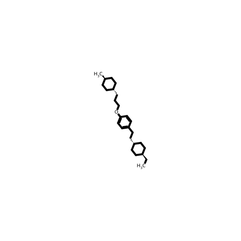 CC[C@H]1CC[C@H](CCc2ccc(OCCC[C@H]3CC[C@H](C)CC3)cc2)CC1